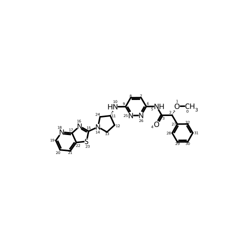 CO[C@@H](C(=O)Nc1ccc(N[C@@H]2CCN(c3nc4ncccc4s3)C2)nn1)c1ccccc1